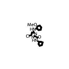 COc1ccccc1Nc1cc(Cl)nc(C(=O)Nc2ccccc2)n1